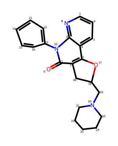 O=c1c2c(c3cccnc3n1-c1ccccc1)OC(CN1CCCCC1)C2